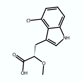 CO[C@@H](Cc1c[nH]c2cccc(Cl)c12)C(=O)O